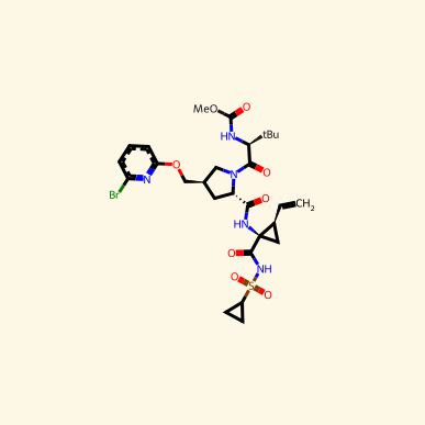 C=C[C@H]1C[C@]1(NC(=O)[C@@H]1C[C@@H](COc2cccc(Br)n2)CN1C(=O)[C@@H](NC(=O)OC)C(C)(C)C)C(=O)NS(=O)(=O)C1CC1